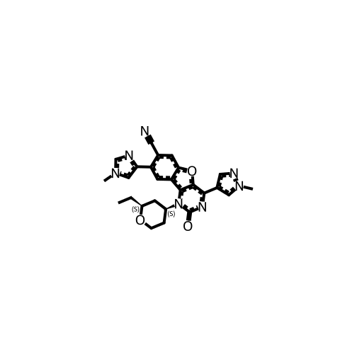 CC[C@H]1C[C@@H](n2c(=O)nc(-c3cnn(C)c3)c3oc4cc(C#N)c(-c5cn(C)cn5)cc4c32)CCO1